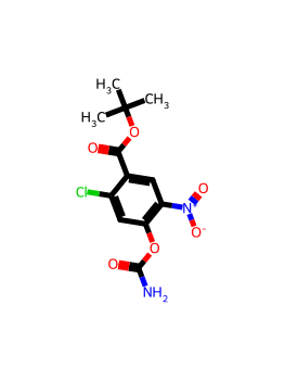 CC(C)(C)OC(=O)c1cc([N+](=O)[O-])c(OC(N)=O)cc1Cl